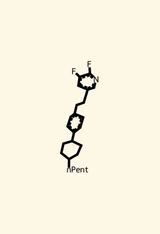 CCCCCC1CCC(c2ccc(CCc3cnc(F)c(F)c3)cc2)CC1